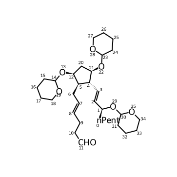 CCCCC[C@@H](C=C[C@@H]1[C@@H](CC=CCCC=O)[C@@H](OC2CCCCO2)C[C@H]1OC1CCCCO1)OC1CCCCO1